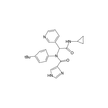 CC(C)(C)c1ccc(N(C(=O)c2c[nH]cn2)C(C(=O)NC2CC2)c2cccnc2)cc1